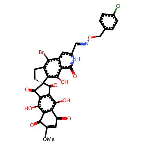 COC1=CC(=O)c2c(O)c3c(c(O)c2C1=O)C(=O)[C@]1(CCc2c1c(O)c1c(=O)[nH]c(/C=N/OCc4ccc(Cl)cc4)cc1c2Br)C3=O